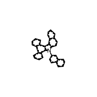 c1ccc2cc(-n3c4ccc5ccccc5c4c4c5ccccc5c5ccccc5c43)ccc2c1